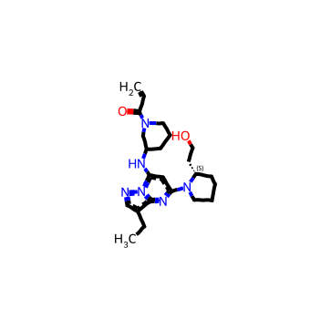 C=CC(=O)N1CCCC(Nc2cc(N3CCCC[C@H]3CCO)nc3c(CC)cnn23)C1